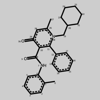 Cc1ccccc1NC(=O)c1c(-c2ccccc2)n(CC2CCCCC2)c(C)cc1=O